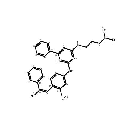 CCN(CC)CCCNc1nc(Nc2ccc(C=C(C#N)c3ccccc3)c(OC)c2)nc(-c2ccccc2)n1